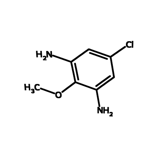 COc1c(N)cc(Cl)cc1N